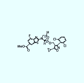 COC(=O)c1cc(F)c2nc(N3C[C@H]4C[C@@H]3[C@H](OCc3c(-c5c(Cl)cccc5Cl)noc3C3CC3)C4)sc2c1